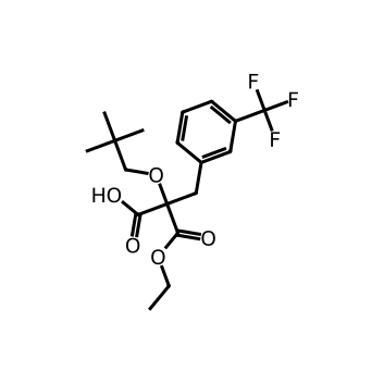 CCOC(=O)C(Cc1cccc(C(F)(F)F)c1)(OCC(C)(C)C)C(=O)O